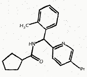 Cc1ccccc1C(NC(=O)C1CCCC1)c1ccc(C(C)C)cn1